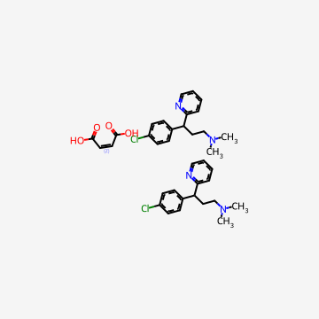 CN(C)CCC(c1ccc(Cl)cc1)c1ccccn1.CN(C)CCC(c1ccc(Cl)cc1)c1ccccn1.O=C(O)/C=C\C(=O)O